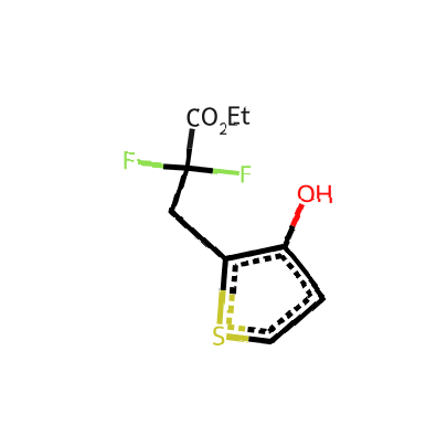 CCOC(=O)C(F)(F)Cc1sccc1O